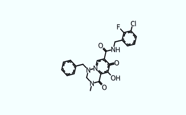 CN1CN(Cc2ccccc2)n2cc(C(=O)NCc3cccc(Cl)c3F)c(=O)c(O)c2C1=O